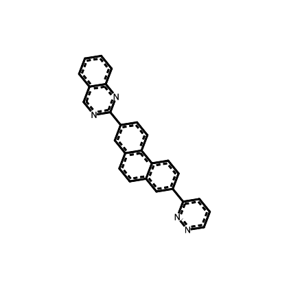 c1cnnc(-c2ccc3c(ccc4cc(-c5ncc6ccccc6n5)ccc43)c2)c1